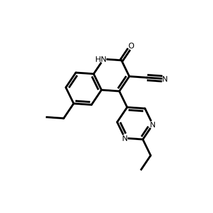 CCc1ccc2[nH]c(=O)c(C#N)c(-c3cnc(CC)nc3)c2c1